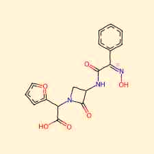 O=C(NC1CN(C(C(=O)O)c2ccco2)C1=O)/C(=N\O)c1ccccc1